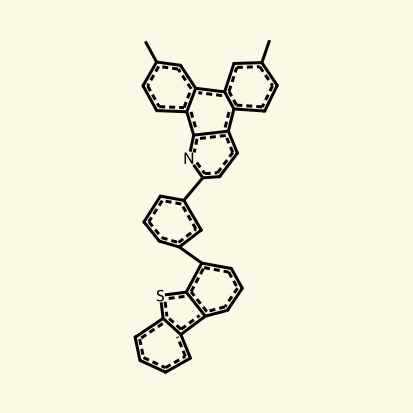 Cc1ccc2c(c1)c1cc(C)ccc1c1nc(-c3cccc(-c4cccc5c4sc4ccccc45)c3)ccc21